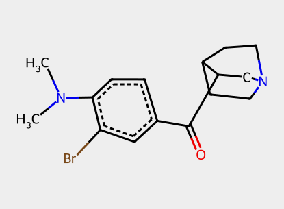 CN(C)c1ccc(C(=O)C2CN3CCC2CC3)cc1Br